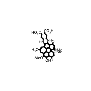 COc1c(O)c2c(=O)cc(OC)c3c4c(OC)cc(=O)c5c(NCCCC(=O)O)c(NCCCC(=O)O)c6c(c(c1CC(C)=C6)c23)c54